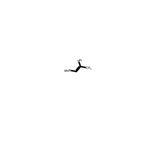 CCC/C(C)=C\NC